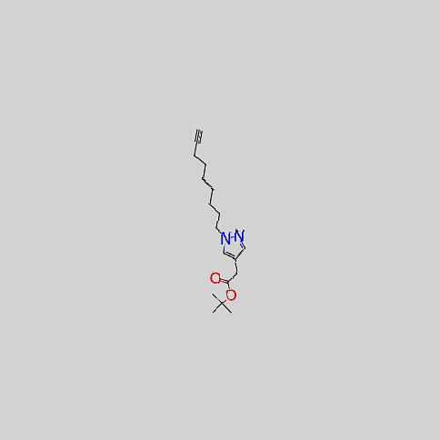 C#CCCCCCCCn1cc(CC(=O)OC(C)(C)C)cn1